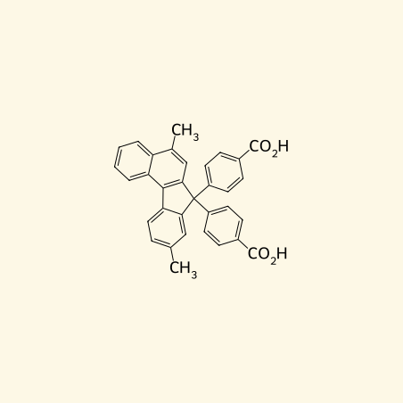 Cc1ccc2c(c1)C(c1ccc(C(=O)O)cc1)(c1ccc(C(=O)O)cc1)c1cc(C)c3ccccc3c1-2